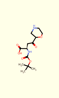 CC(C)(C)OC(=O)N[C@H](CC(=O)C1CNCCO1)C(=O)O